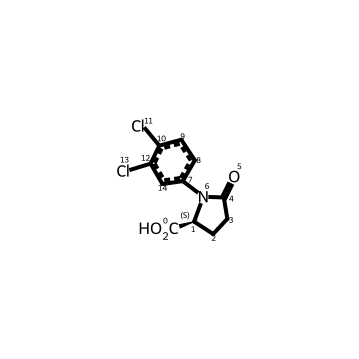 O=C(O)[C@@H]1CCC(=O)N1c1ccc(Cl)c(Cl)c1